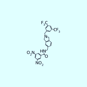 O=C(NCc1ccc2c(c1)CN(Cc1cc(C(F)(F)F)cc(C(F)(F)F)c1)C2)c1cc([N+](=O)[O-])cc([N+](=O)[O-])c1